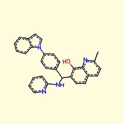 Cc1ccc2ccc(C(Nc3ccccn3)c3ccc(-n4ccc5ccccc54)cc3)c(O)c2n1